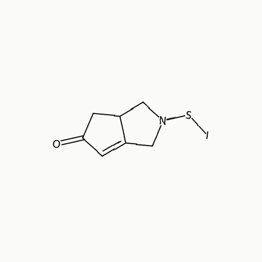 O=C1C=C2CN(SI)CC2C1